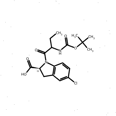 CCC(NC(=O)OC(C)(C)C)C(=O)N1c2ccc(Cl)cc2C[C@H]1C(=O)O